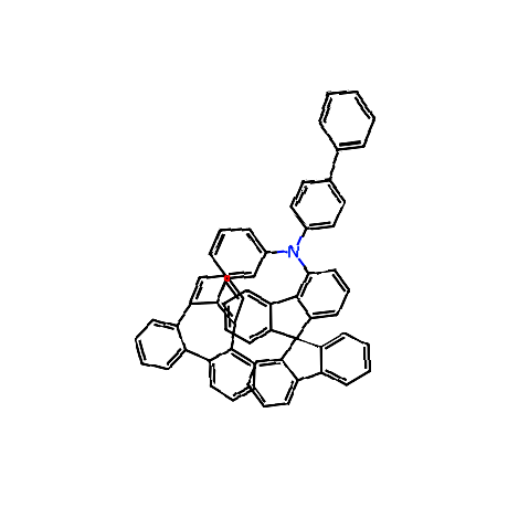 c1ccc(-c2ccc(N(c3cccc(-c4c5cccc4-c4ccccc4-c4ccccc4-5)c3)c3cccc4c3-c3ccccc3C43c4ccccc4-c4ccccc43)cc2)cc1